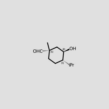 CC(C)[C@@H]1CC[C@](C)(C=O)C[C@H]1O